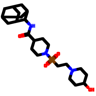 O=C(NC1C2CC3CC(C2)CC1C3)C1CCN(S(=O)(=O)CCN2CCC(O)CC2)CC1